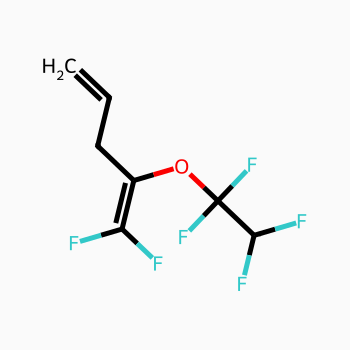 C=CCC(OC(F)(F)[C](F)F)=C(F)F